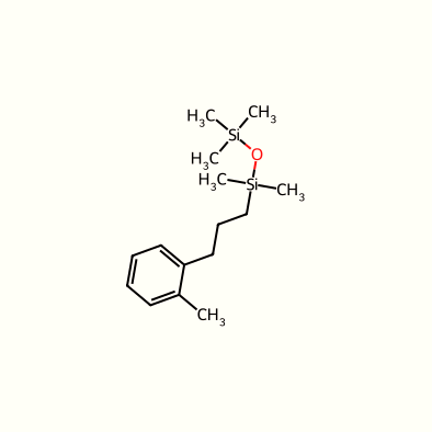 Cc1ccccc1CCC[Si](C)(C)O[Si](C)(C)C